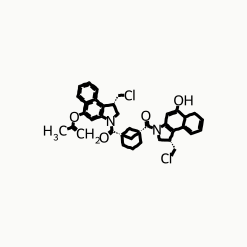 C=C(C)Oc1cc2c(c3ccccc13)[C@H](CCl)CN2C(=O)[C@]12CCC[C@](C(=O)N3C[C@@H](CCl)C4=C3C=C(O)C3CC=CC=C43)(C1)C2